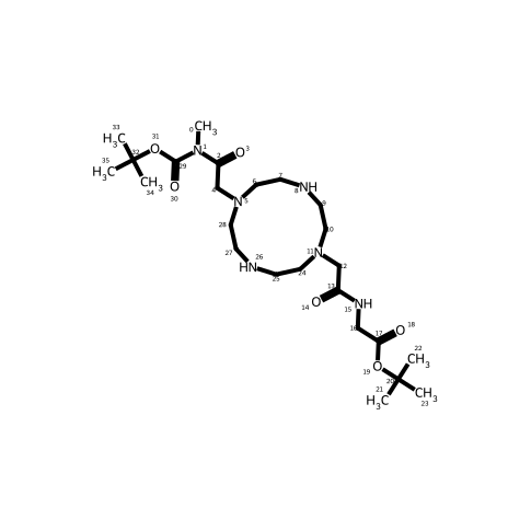 CN(C(=O)CN1CCNCCN(CC(=O)NCC(=O)OC(C)(C)C)CCNCC1)C(=O)OC(C)(C)C